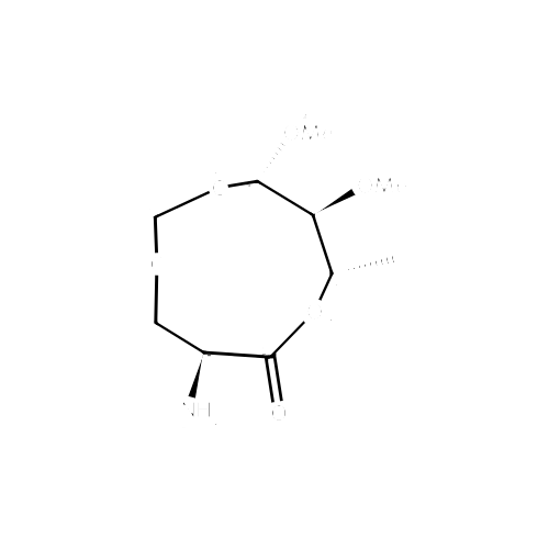 CO[C@H]1[C@H](C)OC(=O)[C@@H](N)CCCC[C@@H]1OC